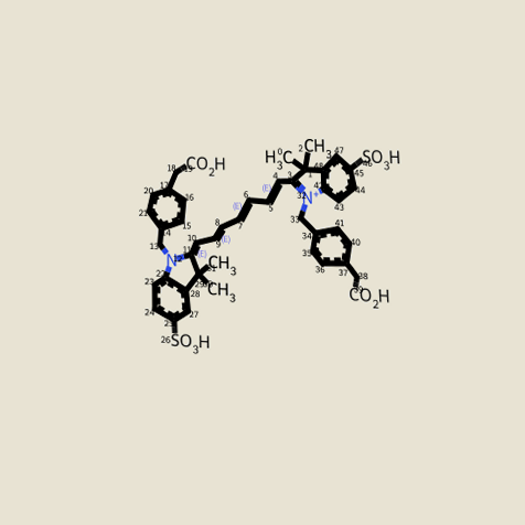 CC1(C)C(/C=C/C=C/C=C/C=C2/N(Cc3ccc(CC(=O)O)cc3)c3ccc(S(=O)(=O)O)cc3C2(C)C)=[N+](Cc2ccc(CC(=O)O)cc2)c2ccc(S(=O)(=O)O)cc21